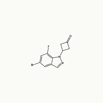 O=C1CC(n2ncc3cc(Br)cc(F)c32)C1